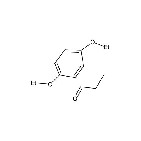 CCC=O.CCOc1ccc(OCC)cc1